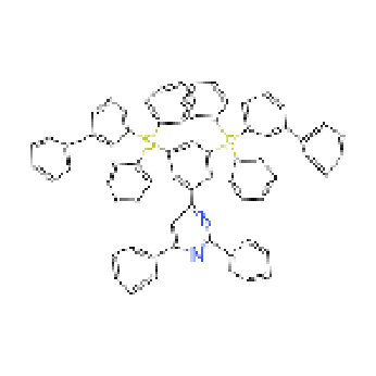 c1ccc(-c2cccc(S(c3ccccc3)(c3ccccc3)c3cc(-c4cc(-c5ccccc5)nc(-c5ccccc5)n4)cc(S(c4ccccc4)(c4ccccc4)c4cccc(-c5ccccc5)c4)c3)c2)cc1